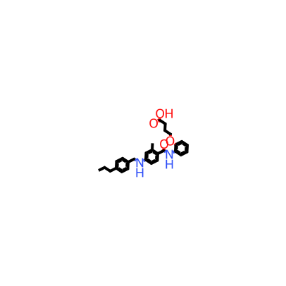 CCCc1ccc(CNc2ccc(C(=O)Nc3ccccc3OCCCC(=O)O)c(C)c2)cc1